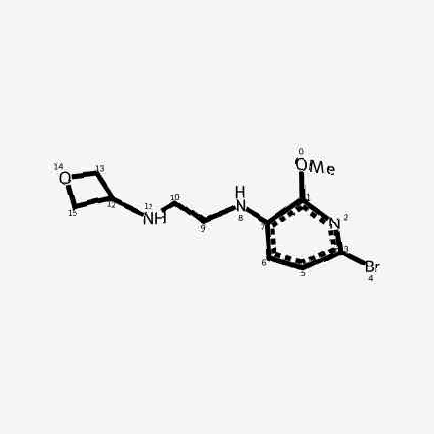 COc1nc(Br)ccc1NCCNC1COC1